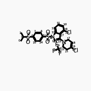 CC(C)S(=O)(=O)c1ccc(S(=O)(=O)n2nc(N3CC=C(Cl)C[C@@H]3C(F)(F)F)c3c(Cl)cccc32)cc1